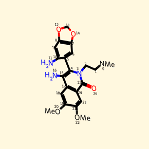 CNCCn1c(-c2cc3c(cc2N)OCO3)c(N)c2cc(OC)c(OC)cc2c1=O